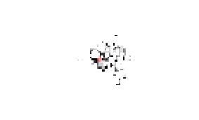 Cc1ccc(N(C(=O)[C@H](F)Cl)[C@](C)(C(=O)NC2CCCCC2)c2cncc(F)c2)cc1